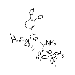 CN(C)CCC(CNCCC(N)C(=O)OC(C)(C)C)c1ccc(Cl)c(Cl)c1